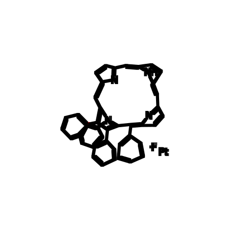 C1=Cc2cc3c(-c4ccccc4)c(-c4ccccc4)c(c(-c4ccccc4)c4nc(cc5ccc(cc1n2)[nH]5)C=C4)n3-c1ccccc1.[F].[Pt]